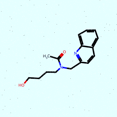 CC(=O)N(CCCCO)Cc1ccc2ccccc2n1